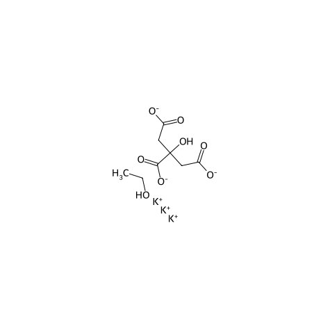 CCO.O=C([O-])CC(O)(CC(=O)[O-])C(=O)[O-].[K+].[K+].[K+]